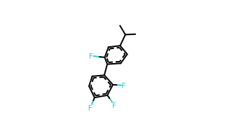 CC(C)c1ccc(-c2ccc(F)c(F)c2F)c(F)c1